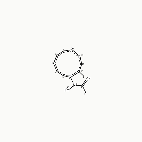 CC(=S)N(c1ccccccccc1C)C(C)C